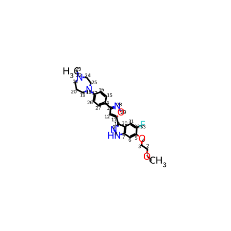 COCCOc1cc2[nH]nc(-c3cc(-c4ccc(N5CCCN(C)CC5)cc4)no3)c2cc1F